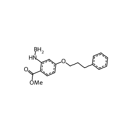 BNc1cc(OCCCc2ccccc2)ccc1C(=O)OC